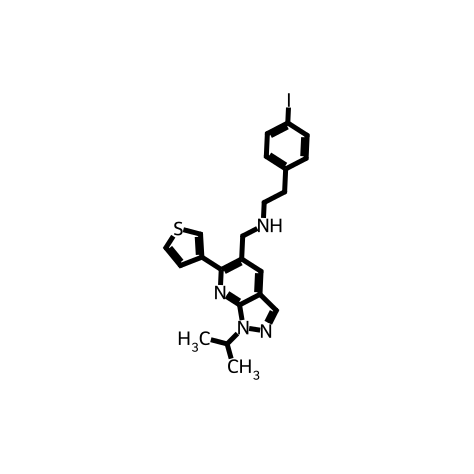 CC(C)n1ncc2cc(CNCCc3ccc(I)cc3)c(-c3ccsc3)nc21